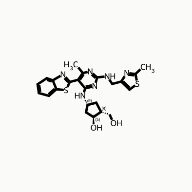 Cc1nc(CNc2nc(C)c(-c3nc4ccccc4s3)c(N[C@@H]3C[C@H](CO)[C@@H](O)C3)n2)cs1